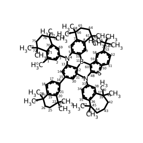 Cc1cc(N2c3cc4c(cc3B3c5c2cc(-c2ccc6c(c2)C(C)(C)CCC6(C)C)cc5N(c2ccc5c(c2)C(C)(C)CCCC5(C)C)c2sc5ccc(C(C)(C)C)cc5c23)C(C)(C)CCC4(C)C)cc2c1C(C)(C)CCC2(C)C